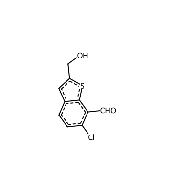 O=Cc1c(Cl)ccc2cc(CO)sc12